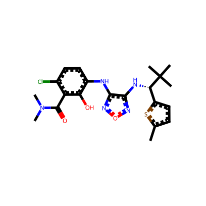 Cc1ccc([C@H](Nc2nonc2Nc2ccc(Cl)c(C(=O)N(C)C)c2O)C(C)(C)C)s1